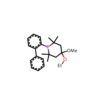 CCOC1(OC)CC(C)(C)P(c2ccccc2-c2ccccc2)C(C)(C)C1